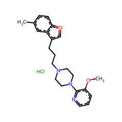 COc1cccnc1N1CCN(CCCc2coc3ccc(C)cc23)CC1.Cl